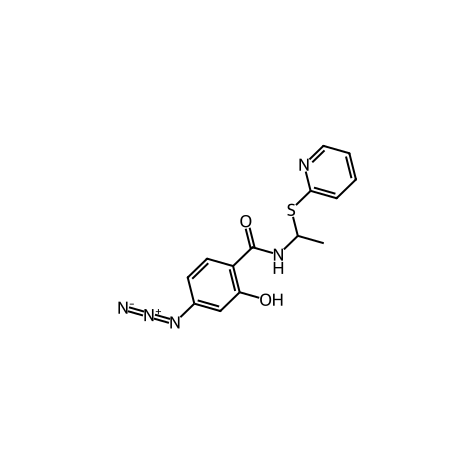 CC(NC(=O)c1ccc(N=[N+]=[N-])cc1O)Sc1ccccn1